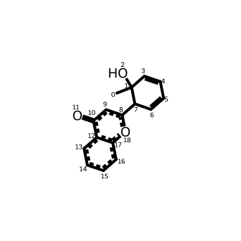 CC1(O)C=CC=CC1c1cc(=O)c2ccccc2o1